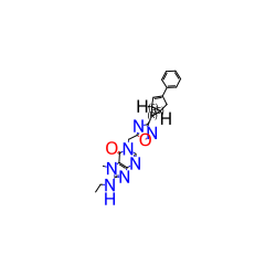 CCNc1nc2ncn(Cc3nc([C@H]4[C@@H]5C=C(c6ccccc6)C[C@@H]54)no3)c(=O)c2n1C